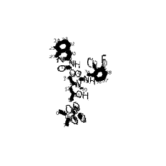 CCOP(=O)(OCC)OC[C@H](O)C[C@@H](COC(=O)Nc1cc2ccccc2cn1)N(C)C(=O)NCc1cccc(F)c1Cl